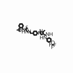 Cc1nn(-c2ccc(C=NNC(=S)Nc3ccccc3C(C)C)cc2)cc1C(=N)Nc1ccc(OC(F)(F)F)cc1